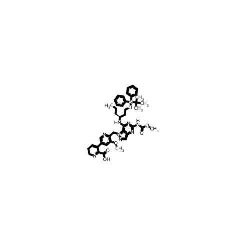 CCC[C@@H](CCO[Si](c1ccccc1)(c1ccccc1)C(C)(C)C)Nc1nc(NC(=O)OC)nc2cnn(Cc3ncc(C4=CCCN=C4C(=O)O)cc3OC)c12